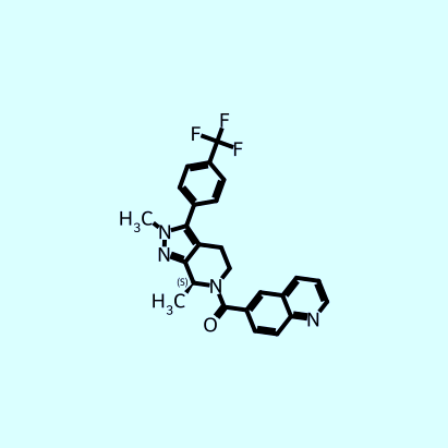 C[C@H]1c2nn(C)c(-c3ccc(C(F)(F)F)cc3)c2CCN1C(=O)c1ccc2ncccc2c1